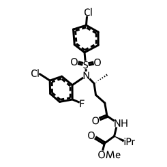 COC(=O)[C@@H](NC(=O)CC[C@@H](C)N(c1cc(Cl)ccc1F)S(=O)(=O)c1ccc(Cl)cc1)C(C)C